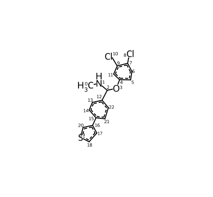 CNC(Oc1ccc(Cl)c(Cl)c1)c1ccc(-c2ccsc2)cc1